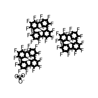 Fc1c(F)c(F)c([S+](c2c(F)c(F)c(F)c(F)c2F)(c2c(F)c(F)c(F)c(F)c2F)c2c(F)c(F)c(F)c(F)c2F)c(F)c1F.Fc1c(F)c(F)c([S+](c2c(F)c(F)c(F)c(F)c2F)(c2c(F)c(F)c(F)c(F)c2F)c2c(F)c(F)c(F)c(F)c2F)c(F)c1F.Fc1c(F)c(F)c([S+](c2c(F)c(F)c(F)c(F)c2F)(c2c(F)c(F)c(F)c(F)c2F)c2c(F)c(F)c(F)c(F)c2F)c(F)c1F.[O-]B([O-])[O-]